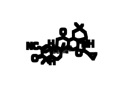 CC1(C)CC[C@]2(NC(=O)C3CC3)CC[C@]3(C)C(C(=O)C[C@@H]4[C@@]5(C)C=C(C#N)C(=O)C(C)(C)[C@@H]5CC[C@]43C)C2C1